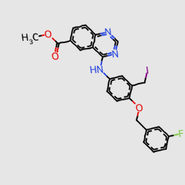 COC(=O)c1ccc2ncnc(Nc3ccc(OCc4cccc(F)c4)c(CI)c3)c2c1